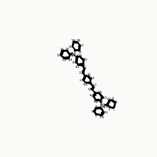 C1=CCCC(N(C2=CCCC=C2)c2ccc(/C=C/c3ccc(/C=C/c4ccc(N(c5ccccc5)C5C=CC=CC5)cc4)cc3)cc2)=C1